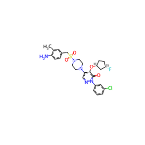 Cc1cc(CS(=O)(=O)N2CCN(c3cnn(-c4cccc(Cl)c4)c(=O)c3O[C@H]3CC[C@H](F)C3)CC2)ccc1N